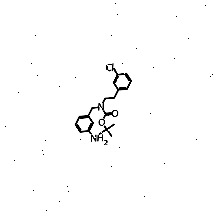 CC(C)(C)OC(=O)N(CCc1cccc(Cl)c1)Cc1cccc(N)c1